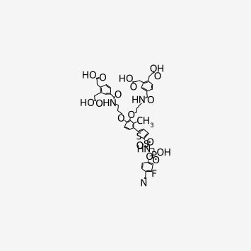 Cc1c(-c2ccc(S(=O)(=O)NCP(=O)(O)Oc3ccc(C#N)c(F)c3)s2)ccc(OCCCNC(=O)c2ccc(CC(=O)O)c(CC(=O)O)c2)c1OCCCNC(=O)c1ccc(CC(=O)O)c(CC(=O)O)c1